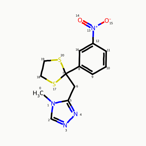 Cn1cnnc1CC1(c2cccc([N+](=O)[O-])c2)SCCS1